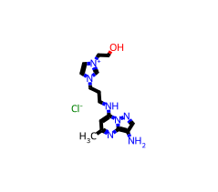 Cc1cc(NCCCn2cc[n+](CCO)c2)n2ncc(N)c2n1.[Cl-]